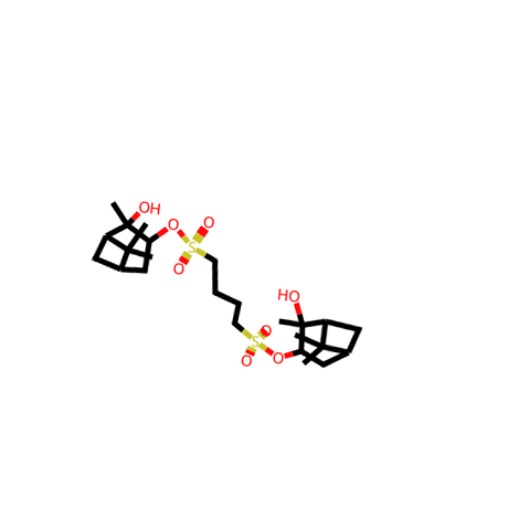 CC1(C)C2CC(OS(=O)(=O)CCCCS(=O)(=O)OC3CC4CC(C4(C)C)C3(C)O)C(C)(O)C1C2